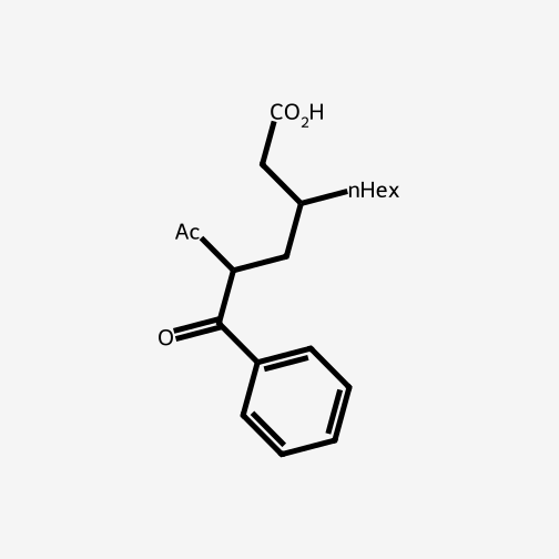 CCCCCCC(CC(=O)O)CC(C(C)=O)C(=O)c1ccccc1